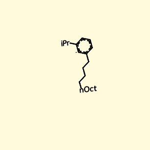 CCCCCCCCCCCCc1[c]c(C(C)C)ccc1